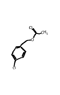 CC(=O)OCc1ccc(Cl)cc1